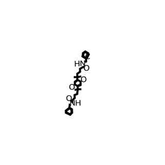 CC(C)(CCCC(=O)NCc1ccccc1)C1=CC(=O)C(C(C)(C)CCCC(=O)NCc2ccccc2)=CC1=O